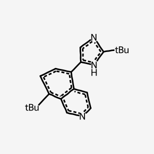 CC(C)(C)c1ncc(-c2ccc(C(C)(C)C)c3cnccc23)[nH]1